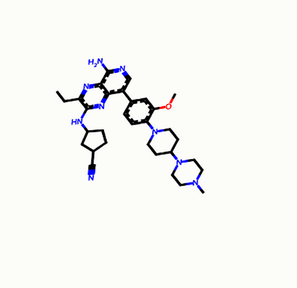 CCc1nc2c(N)ncc(-c3ccc(N4CCC(N5CCN(C)CC5)CC4)c(OC)c3)c2nc1NC1CCC(C#N)C1